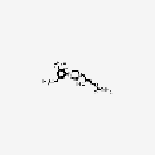 CCc1cc(Cl)c(OC)c(N2CCN(C[C@H](O)CCOC(N)=O)CC2)c1